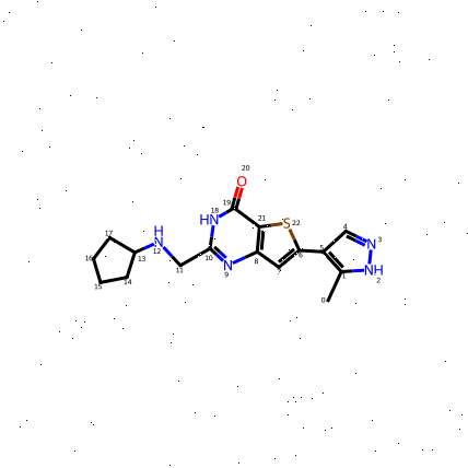 Cc1[nH]ncc1-c1cc2nc(CNC3CCCC3)[nH]c(=O)c2s1